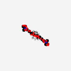 CC1(C)c2cc(-c3ccc(-c4ccc5c(c4)c4ccccc4n5-c4cccc5ccccc45)cc3)ccc2-c2ccc(-c3ccc4c(c3)C(C)(C)c3cc(-c5ccc(-c6ccc7c(c6)c6ccccc6n7-c6cccc7ccccc67)cc5)ccc3-4)cc21